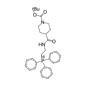 CC(C)(C)OC(=O)N1CCC(C(=O)NCC[PH](c2ccccc2)(c2ccccc2)c2ccccc2)CC1